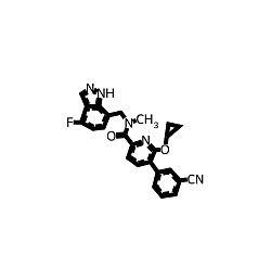 CN(Cc1ccc(F)c2cn[nH]c12)C(=O)c1ccc(-c2cccc(C#N)c2)c(OC2CC2)n1